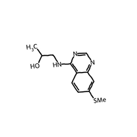 CSc1ccc2c(NCC(C)O)ncnc2c1